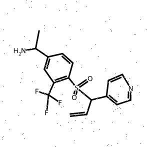 C=CC(c1ccncc1)S(=O)(=O)c1ccc(C(C)N)cc1C(F)(F)F